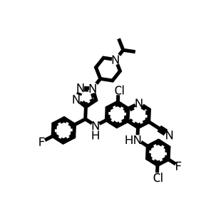 CC(C)N1CCC(n2cc(C(Nc3cc(Cl)c4ncc(C#N)c(Nc5ccc(F)c(Cl)c5)c4c3)c3ccc(F)cc3)nn2)CC1